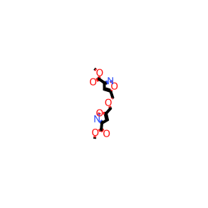 COC(=O)c1cc(COCc2cc(C(=O)OC)no2)on1